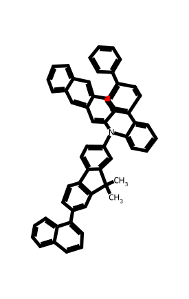 CC1(C)c2cc(-c3cccc4ccccc34)ccc2-c2ccc(N(c3ccc4cc5ccccc5cc4c3)c3ccccc3-c3ccc(-c4ccccc4)cc3)cc21